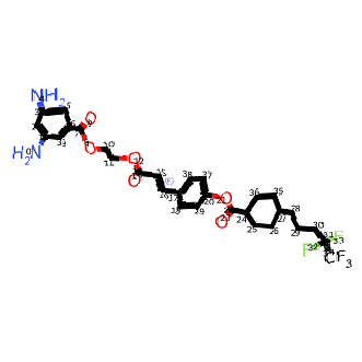 Nc1cc(N)cc(C(=O)OCCOC(=O)/C=C/c2ccc(OC(=O)C3CCC(CCCC(F)(F)C(F)(F)F)CC3)cc2)c1